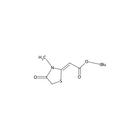 CN1C(=O)CS/C1=C\C(=O)OC(C)(C)C